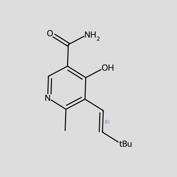 Cc1ncc(C(N)=O)c(O)c1/C=C/C(C)(C)C